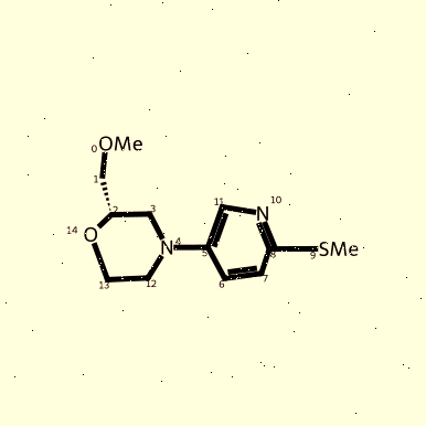 COC[C@@H]1CN(c2ccc(SC)nc2)CCO1